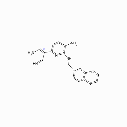 N=C/C(=C\N)c1ccc(N)c(NCc2ccc3ncccc3c2)n1